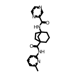 Cc1cccc(NC(=O)C23CCCC(NC(=O)c4cnccn4)(CC2)C3)n1